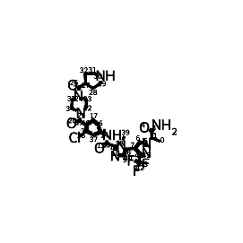 CC(C(N)=O)n1cc(-c2cnc(C(=O)Nc3ccc(C(=O)N4CCN(C(=O)C5CCNCC5)CC4)c(Cl)c3)n2C)c(C(F)(F)F)n1